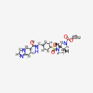 CC(C)(C)OC(=O)N1C[C@@H]2CCN(S(=O)(=O)c3ccc(CNC(=O)c4ccc5nccn5c4)cc3)[C@@H]2C1